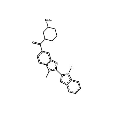 CCn1c(-c2nc3cc(C(=O)N4CCCC(NC)C4)ccc3n2C)cc2ccccc21